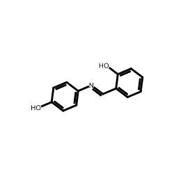 Oc1ccc(/N=C/c2ccccc2O)cc1